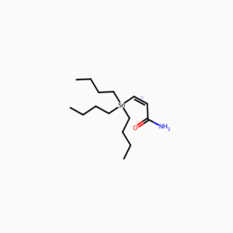 CCC[CH2][Sn](/[CH]=C\C(N)=O)([CH2]CCC)[CH2]CCC